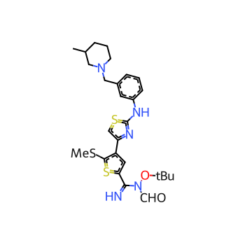 CSc1sc(C(=N)N(C=O)OC(C)(C)C)cc1-c1csc(Nc2cccc(CN3CCCC(C)C3)c2)n1